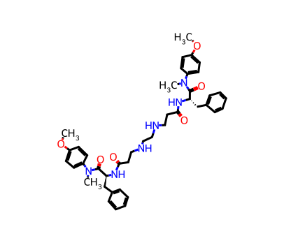 COc1ccc(N(C)C(=O)[C@H](Cc2ccccc2)NC(=O)CCNCCNCCC(=O)N[C@@H](Cc2ccccc2)C(=O)N(C)c2ccc(OC)cc2)cc1